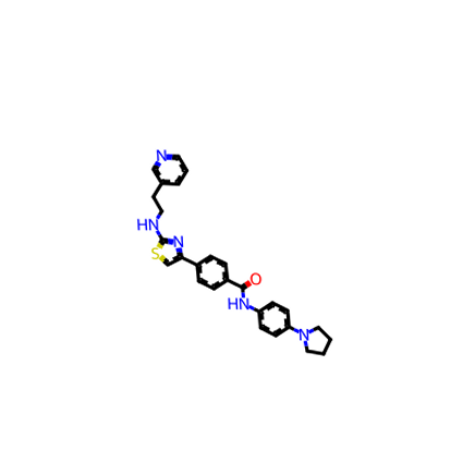 O=C(Nc1ccc(N2CCCC2)cc1)c1ccc(-c2csc(NCCc3cccnc3)n2)cc1